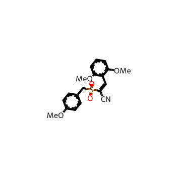 COc1ccc(CS(=O)(=O)/C(C#N)=C\c2c(OC)cccc2OC)cc1